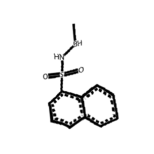 CBNS(=O)(=O)c1cccc2ccccc12